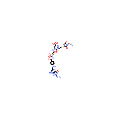 CN1C(=O)CC(SCCNC(=O)[C@H](CCC(=O)O)NC(=O)CC[C@H](NC(=O)c2ccc(NCc3c[nH]c4nc(N)nc(=O)c-4n3)cc2)C(=O)O)C1=O